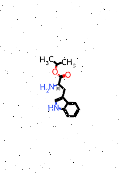 CC(C)OC(=O)[C@H](N)Cc1c[nH]c2ccccc12